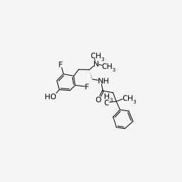 CN(C)[C@H](CNC(=O)CC(C)(C)c1ccccc1)Cc1c(F)cc(O)cc1F